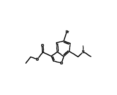 CCOC(=O)c1coc2c(CN(C)C)cc(Br)cc12